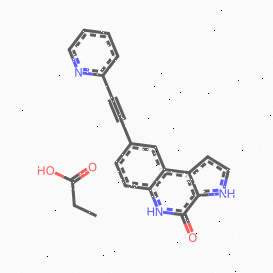 CCC(=O)O.O=c1[nH]c2ccc(C#Cc3ccccn3)cc2c2cc[nH]c12